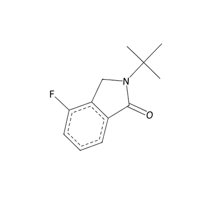 CC(C)(C)N1Cc2c(F)cccc2C1=O